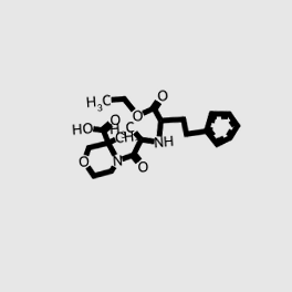 CCOC(=O)C(CCc1ccccc1)NC(C)C(=O)N1CCOCC1(C)C(=O)O